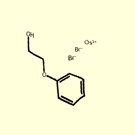 OCCOc1ccccc1.[Br-].[Br-].[Os+2]